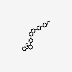 Fc1ccc(-c2ccc(-c3ccc4ccc(-c5ccc(-c6cccc7c6sc6ccccc67)cc5)cc4c3)cc2)cc1